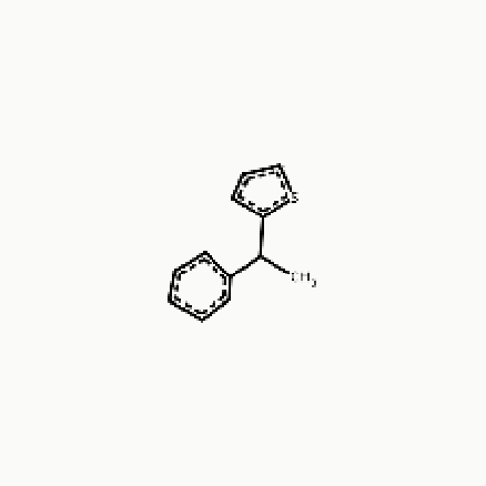 CC(c1ccccc1)c1cc[c]s1